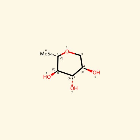 CS[C@@H]1OC[C@@H](O)[C@H](O)[C@H]1O